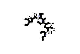 C=C/C=C(\C=C)Nc1cc(/C(C=C)=C(C)/C(=C\C)NC(=O)c2cc(C=C)c(C)s2)cn(C)c1=O